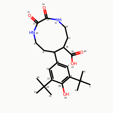 CC(C)(C)c1cc(C2CCNC(=O)C(=O)NCCC2C(=O)O)cc(C(C)(C)C)c1O